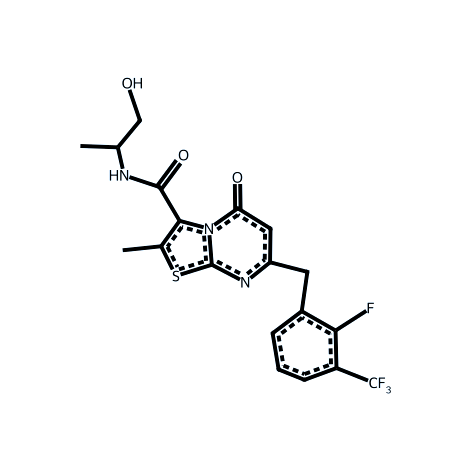 Cc1sc2nc(Cc3cccc(C(F)(F)F)c3F)cc(=O)n2c1C(=O)NC(C)CO